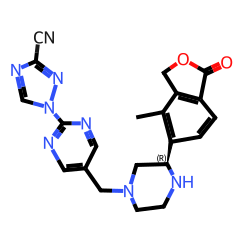 Cc1c([C@@H]2CN(Cc3cnc(-n4cnc(C#N)n4)nc3)CCN2)ccc2c1COC2=O